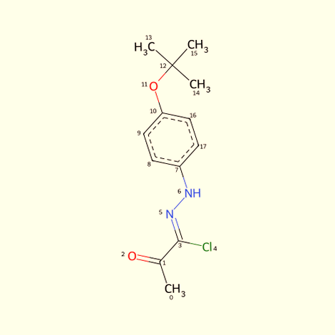 CC(=O)C(Cl)=NNc1ccc(OC(C)(C)C)cc1